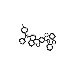 Cc1ccc(N(c2ccccc2)c2ccc3c4c(cccc24)Oc2cc4c(cc2-3)Oc2cccc3c2B4c2ccccc2O3)cc1